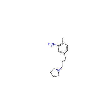 Cc1ccc(CCCN2CCCC2)cc1N